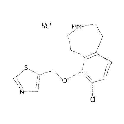 Cl.Clc1ccc2c(c1OCc1cncs1)CCNCC2